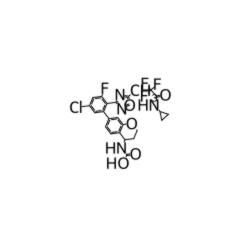 Cc1nc(-c2c(F)cc(Cl)cc2-c2ccc3c(c2)OCCC3NC(=O)O)no1.O=C(NC1CC1)C(F)(F)F